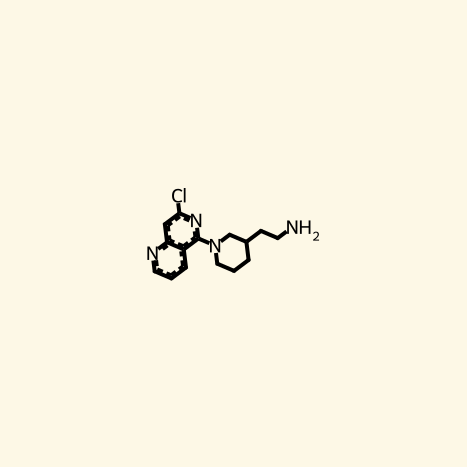 NCCC1CCCN(c2nc(Cl)cc3ncccc23)C1